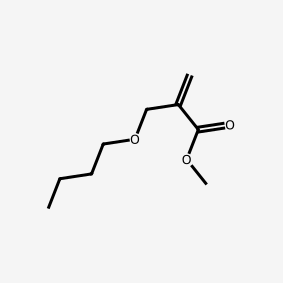 C=C(COCCCC)C(=O)OC